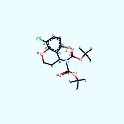 CC(C)(C)OC(=O)N(C(=O)OC(C)(C)C)C1CCOc2c(Cl)ccc(Br)c21